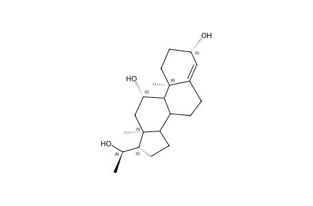 C[C@@H](O)[C@H]1CCC2C3CCC4=C[C@@H](O)CC[C@]4(C)C3[C@@H](O)C[C@@]21C